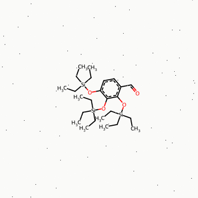 CC[Si](CC)(CC)Oc1ccc(C=O)c(O[Si](CC)(CC)CC)c1O[Si](CC)(CC)CC